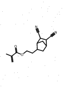 C=C(C)C(=O)OCCC1CC2CC1C(C#N)C2C#N